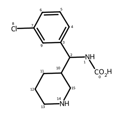 O=C(O)NC(c1cccc(Cl)c1)C1CCCNC1